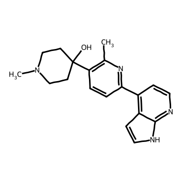 Cc1nc(-c2ccnc3[nH]ccc23)ccc1C1(O)CCN(C)CC1